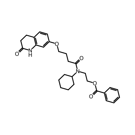 O=C1CCc2ccc(OCCCC(=O)N(CCOC(=O)c3ccccc3)C3CCCCC3)cc2N1